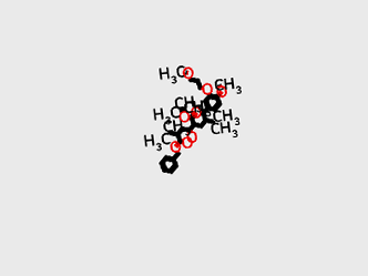 COCCCOc1cc(CC(CC(C(=O)CC(C(=O)OCc2ccccc2)C(C)C)C(=O)OC(C)(C)C)C(C)C)ccc1OC